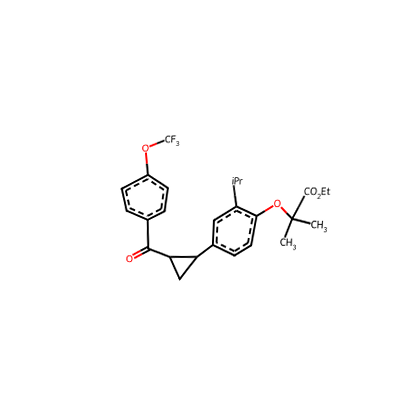 CCOC(=O)C(C)(C)Oc1ccc(C2CC2C(=O)c2ccc(OC(F)(F)F)cc2)cc1C(C)C